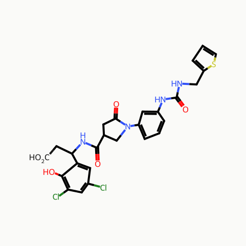 O=C(O)CC(NC(=O)C1CC(=O)N(c2cccc(NC(=O)NCc3cccs3)c2)C1)c1cc(Cl)cc(Cl)c1O